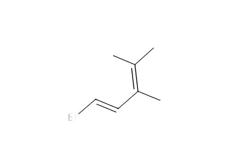 CC/C=C/C(C)=C(C)C